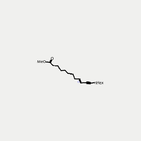 CCCCCCC#C/C=C/CCCCCCCC(=O)OC